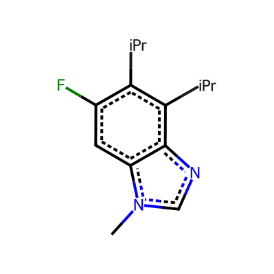 CC(C)c1c(F)cc2c(ncn2C)c1C(C)C